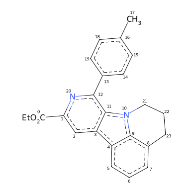 CCOC(=O)c1cc2c3cccc4c3n(c2c(-c2ccc(C)cc2)n1)CCC4